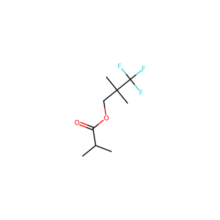 CC(C)C(=O)OCC(C)(C)C(F)(F)F